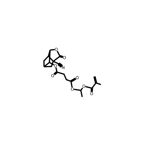 C=C(C)C(=O)OC(C)OC(=O)CCC(=O)OC1C2CC3C1OC(=O)C3(C#N)C2